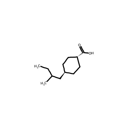 CCC(C)C[C@H]1CC[C@H](C(=O)O)CC1